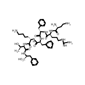 C[C@@H](O)[C@H](NC(=O)[C@H](CCCCN)NC(=O)[C@H](Cc1ccccc1)NC(=O)[C@H](Cc1ccccc1)NC(=O)[C@H](CCCNC(=N)N)NC(=O)[C@H](N)CCN)C(=O)N[C@@H](Cc1ccccc1)C(=O)O